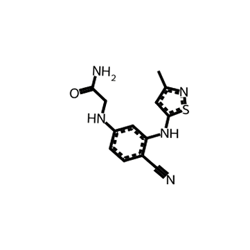 Cc1cc(Nc2cc(NCC(N)=O)ccc2C#N)sn1